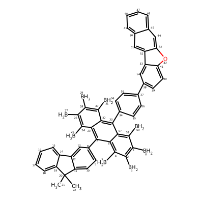 Bc1c(B)c(B)c2c(-c3ccc4c(c3)-c3ccccc3C4(C)C)c3c(B)c(B)c(B)c(B)c3c(-c3ccc(-c4ccc5oc6cc7ccccc7cc6c5c4)cc3)c2c1B